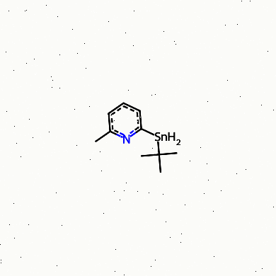 Cc1ccc[c]([SnH2][C](C)(C)C)n1